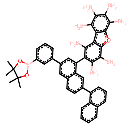 Bc1c(B)c(B)c2c(oc3c(B)c(B)c(-c4cc(-c5cccc(B6OC(C)(C)C(C)(C)O6)c5)cc5ccc(-c6cccc7ccccc67)cc45)c(B)c32)c1B